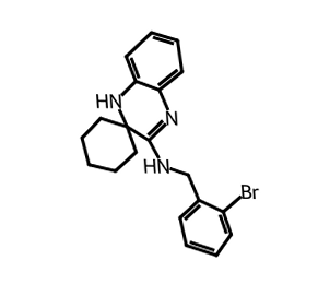 Brc1ccccc1CNC1=Nc2ccccc2NC12CCCCC2